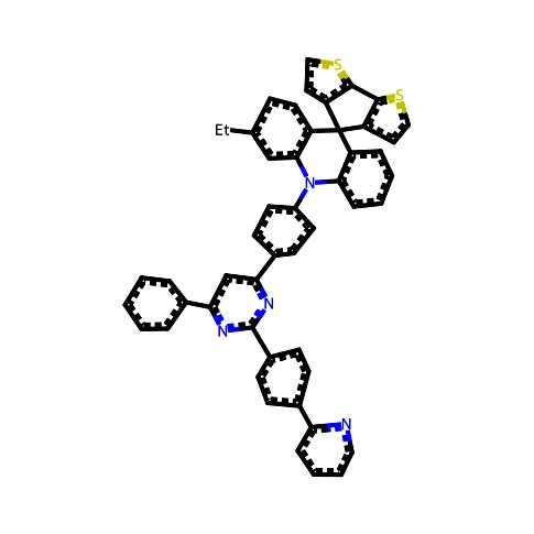 CCc1ccc2c(c1)N(c1ccc(-c3cc(-c4ccccc4)nc(-c4ccc(-c5ccccn5)cc4)n3)cc1)c1ccccc1C21c2ccsc2-c2sccc21